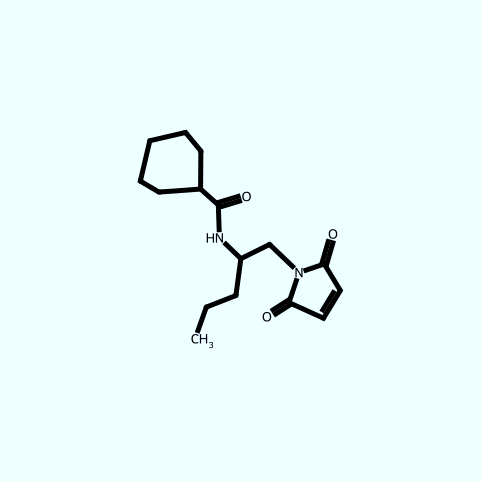 CCCC(CN1C(=O)C=CC1=O)NC(=O)C1CCCCC1